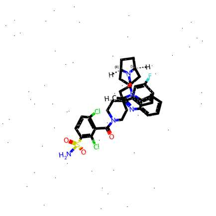 Cc1nc2ccccc2n1C1C[C@H]2CC[C@@H](C1)N2CCC1(c2cccc(F)c2)CCN(C(=O)c2c(Cl)ccc(S(N)(=O)=O)c2Cl)CC1